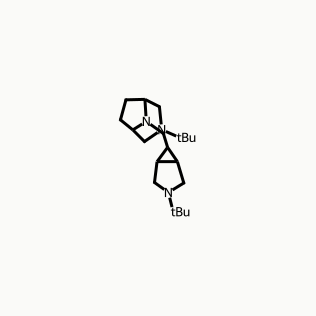 CC(C)(C)N1CC2C(CN3C4CCC3CN(C(C)(C)C)C4)C2C1